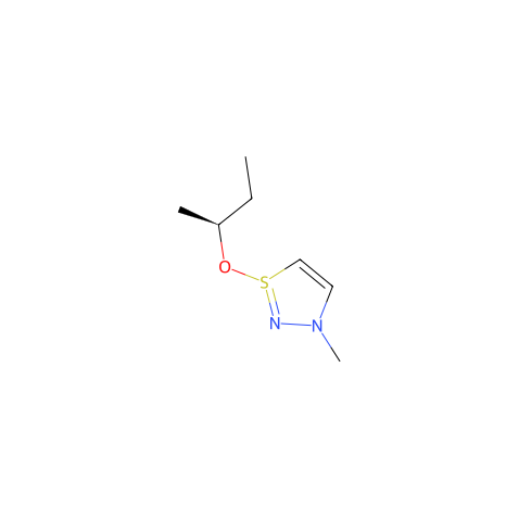 CC[C@H](C)OS1=NN(C)C=C1